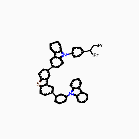 CC(C)CC(c1ccc(-n2c3ccccc3c3cc(-c4ccc5sc6ccc(-c7cccc(-n8c9ccccc9c9ccccc98)c7)cc6c5c4)ccc32)cc1)C(C)C